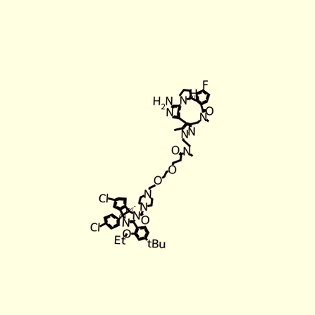 CCOc1cc(C(C)(C)C)ccc1C1=N[C@]2(c3ccc(Cl)cc3)c3cc(Cl)ccc3[C@@]2(C)N1C(=O)N1CCN(CCOCCOCCC(=O)N(C)CCn2nc3c(c2C)-c2cnc(N)c(c2)N2CCC[C@@H]2c2cc(F)ccc2C(=O)N(C)C3)CC1